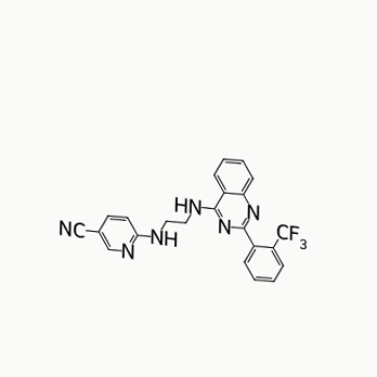 N#Cc1ccc(NCCNc2nc(-c3ccccc3C(F)(F)F)nc3ccccc23)nc1